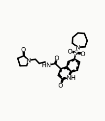 O=C(NCCCN1CCCC1=O)c1cc(=O)[nH]c2ccc(S(=O)(=O)N3CCCCCC3)cc12